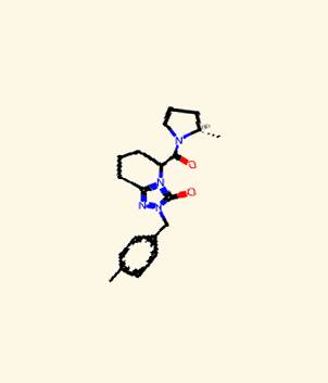 Cc1ccc(Cn2nc3n(c2=O)C(C(=O)N2CCC[C@@H]2C)CCC3)cc1